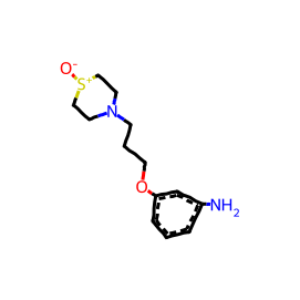 Nc1cccc(OCCCN2CC[S+]([O-])CC2)c1